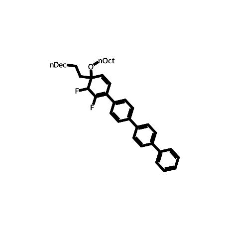 CCCCCCCCCCCCC1(OCCCCCCCC)C=CC(c2ccc(-c3ccc(-c4ccccc4)cc3)cc2)=C(F)C1F